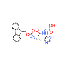 O=C(O)CNC(=O)[C@H](Cc1c[nH]cn1)NC(=O)OCC1c2ccccc2-c2ccccc21